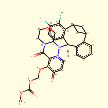 COC(=O)OCOc1c2n(ccc1=O)N([C@@H]1c3ccccc3C3CC(C3)c3c1ccc(F)c3F)[C@@H]1COCCN1C2=O